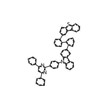 c1ccc(-c2cc(-c3ccccc3)nc(-c3ccc(-n4c5ccccc5c5cc(-c6ccccc6-c6ccccc6-c6ccc7sc8ccccc8c7c6)ccc54)cc3)n2)cc1